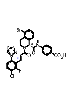 CN(C(=O)[C@H]1c2cccc(Br)c2CCN1C(=O)/C=C/c1c(-n2cnnn2)ccc(Cl)c1F)c1ccc(C(=O)O)cc1